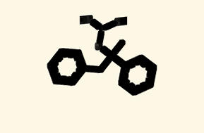 CC(Cc1ccccc1)(OP(O)O)c1ccccc1